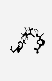 COC(=O)C(OC(=O)C(C)c1ccc(CC(C)C)cc1)C(OC(=O)C(C)c1ccc(CC(C)C)cc1)C(C)=O